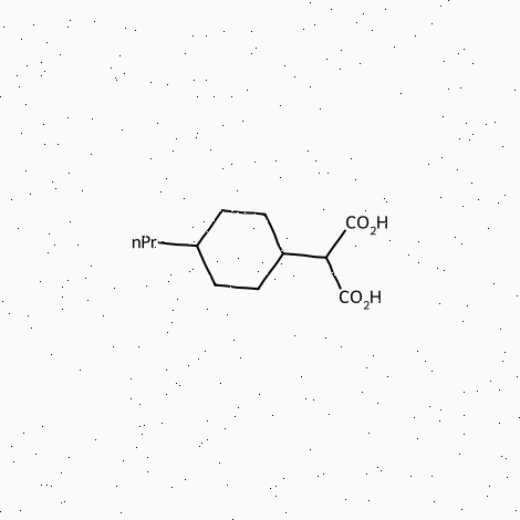 CCCC1CCC(C(C(=O)O)C(=O)O)CC1